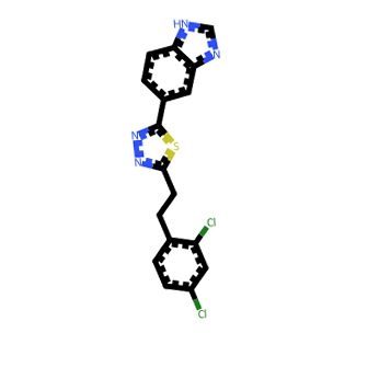 Clc1ccc(CCc2nnc(-c3ccc4[nH]cnc4c3)s2)c(Cl)c1